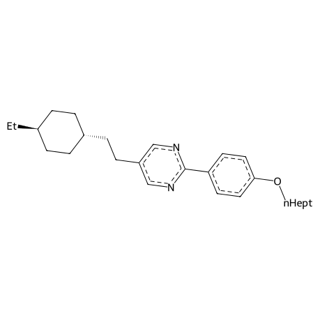 CCCCCCCOc1ccc(-c2ncc(CC[C@H]3CC[C@H](CC)CC3)cn2)cc1